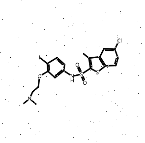 Cc1c(S(=O)(=O)Nc2ccc(I)c(OCCN(C)C)c2)sc2ccc(Cl)cc12